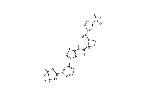 CC1(C)OB(c2cccc(-c3csc(NC(=O)[C@@H]4CCN4C(=O)c4ccn(S(C)(=O)=O)c4)n3)c2)OC1(C)C